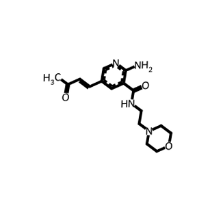 CC(=O)/C=C/c1cnc(N)c(C(=O)NCCN2CCOCC2)c1